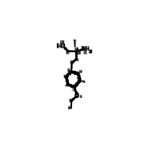 CCOc1ccc(CC[C@](C)(N)CO)cc1